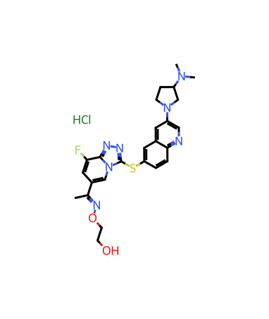 CC(=NOCCO)c1cc(F)c2nnc(Sc3ccc4ncc(N5CCC(N(C)C)C5)cc4c3)n2c1.Cl